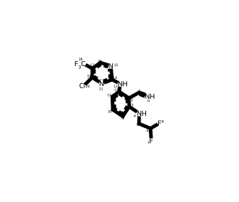 N=Cc1c(NCC(F)F)cccc1Nc1ncc(C(F)(F)F)c(Cl)n1